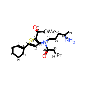 COC(=O)c1sc(C2=CCCCC2)cc1N(CCCC(C)N)C(=O)CC(C)C